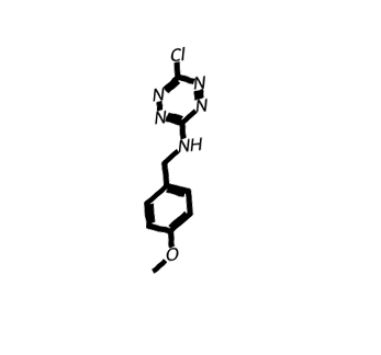 COc1ccc(CNc2nnc(Cl)nn2)cc1